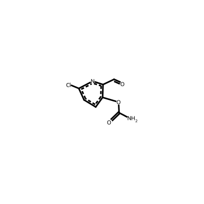 NC(=O)Oc1ccc(Cl)nc1C=O